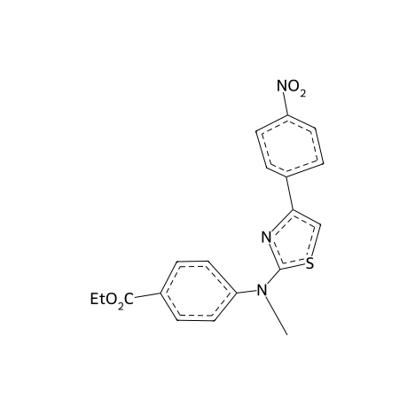 CCOC(=O)c1ccc(N(C)c2nc(-c3ccc([N+](=O)[O-])cc3)cs2)cc1